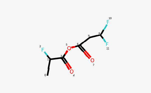 CC(F)C(=O)OC(=O)CC(F)F